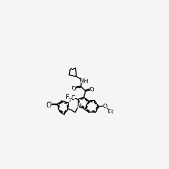 CCOc1ccc2c(c1)c(C(=O)C(=O)NC1CCC1)c(C(F)(F)F)n2Cc1ccc(Cl)cc1